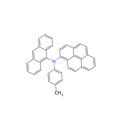 Cc1ccc(N(c2c3ccccc3cc3ccccc23)c2ccc3ccc4cccc5ccc2c3c45)cc1